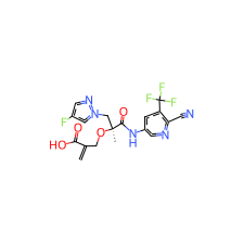 C=C(CO[C@@](C)(Cn1cc(F)cn1)C(=O)Nc1cnc(C#N)c(C(F)(F)F)c1)C(=O)O